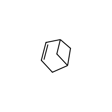 C1=CC2CC(C1)C2